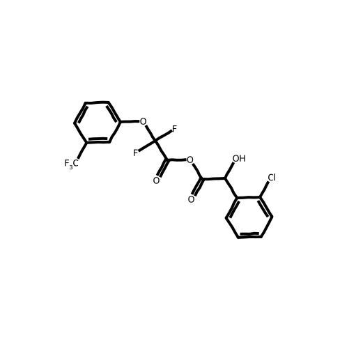 O=C(OC(=O)C(F)(F)Oc1cccc(C(F)(F)F)c1)C(O)c1ccccc1Cl